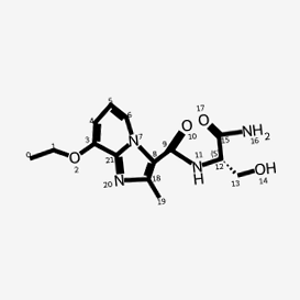 CCOc1cccn2c(C(=O)N[C@@H](CO)C(N)=O)c(C)nc12